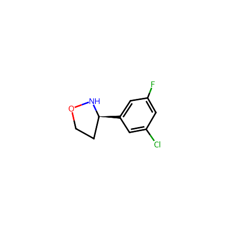 Fc1cc(Cl)cc([C@H]2CCON2)c1